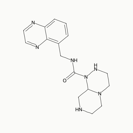 O=C(NCc1cccc2nccnc12)N1NCCN2CCNCC21